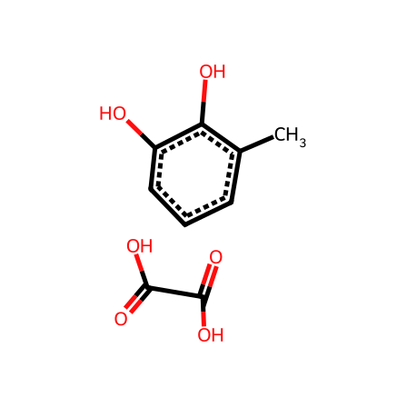 Cc1cccc(O)c1O.O=C(O)C(=O)O